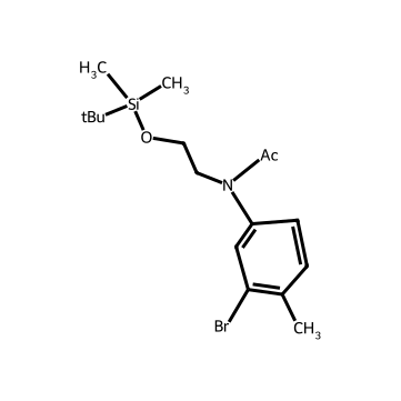 CC(=O)N(CCO[Si](C)(C)C(C)(C)C)c1ccc(C)c(Br)c1